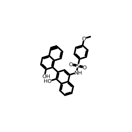 COc1ccc(S(=O)(=O)Nc2cc(-c3c(O)ccc4c#cccc34)c(O)c3ccccc23)cc1